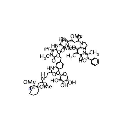 CC[C@H](C)[C@@H]([C@@H](CC(=O)N1CCC[C@H]1[C@H](OC)[C@@H](C)C(=O)N[C@H](C)[C@@H](O)c1ccccc1)OC)N(C)C(=O)[C@@H](NC(=O)[C@H](C(C)C)N(C)C(=O)OCc1ccc(O[C@@H]2OC[C@H](O)[C@H](O)[C@H]2O)c(NC(=O)CCNC(=O)C[C@@]2(OC)CCCC/C=C/[C@@H]2OC)c1)C(C)C